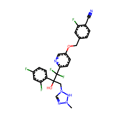 CN1N=CN(CC(O)(c2ccc(F)cc2F)C(F)(F)c2ccc(OCc3ccc(C#N)c(F)c3)cn2)N1